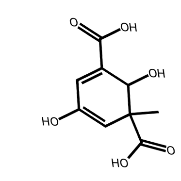 CC1(C(=O)O)C=C(O)C=C(C(=O)O)C1O